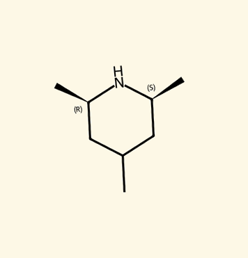 CC1C[C@@H](C)N[C@@H](C)C1